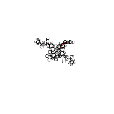 CCCCOc1ccc(C(=CC2(C=C(c3ccc(NCCC(Cl)C4CCCC4)cc3)c3ccc(OCCCC)cc3)OC(=O)c3c(Cl)c(Cl)c(Cl)c(Cl)c32)c2ccc(NCCC(Cl)C3CCCC3)cc2)cc1